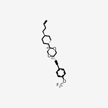 C=CCC[C@H]1CC[C@H]([C@@H]2CO[C@@H](C#Cc3ccc(OC(F)(F)F)cc3)CO2)CC1